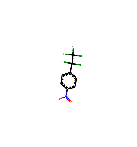 O=[N+]([O-])c1ccc(C(F)(F)C(F)(F)F)cc1